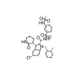 Cc1ccccc1Cn1c(C(=O)NS(=O)(=O)c2cccc(NS(C)(=O)=O)c2)c(-c2ccc[nH]c2=O)c2cc(Cl)ccc21